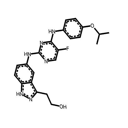 CC(C)Oc1ccc(Nc2nc(Nc3ccc4[nH]nc(CCO)c4c3)ncc2F)cc1